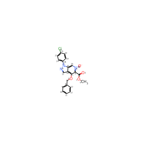 COC(=O)c1c(OCc2ccccc2)c2cnn(-c3ccc(Cl)cc3)c2c[n+]1[O-]